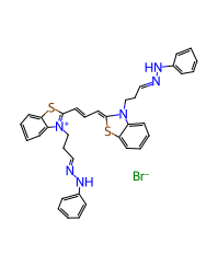 C(=Cc1sc2ccccc2[n+]1CCC=NNc1ccccc1)C=C1Sc2ccccc2N1CCC=NNc1ccccc1.[Br-]